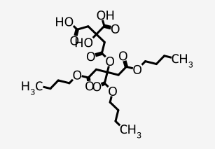 CCCCOC(=O)CC(CC(=O)OCCCC)(OC(=O)CC(O)(CC(=O)O)C(=O)O)C(=O)OCCCC